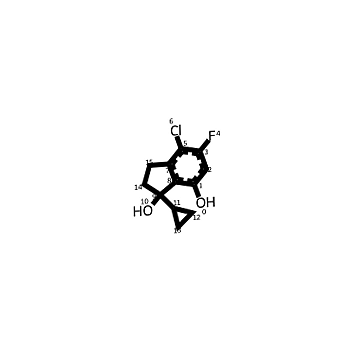 Oc1cc(F)c(Cl)c2c1C(O)(C1CC1)CC2